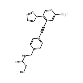 CC(C)(C)OC(=O)NCc1ccc(C#Cc2cc(C(=O)O)ccc2-n2cccn2)cc1